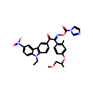 CCn1c2ccc(C(=O)/C(=N/OC(=O)n3ccnc3)c3ccc(OC(C)COC)cc3C)cc2c2cc([N+](=O)[O-])ccc21